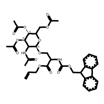 C=CCOC(=O)C(CO[C@@H]1OC(COC(C)=O)[C@@H](OC(C)=O)[C@H](OC(C)=O)C1NC(C)=O)NC(=O)OCC1c2ccccc2-c2ccccc21